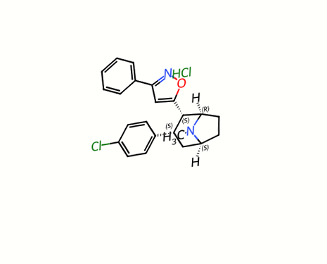 CN1[C@H]2CC[C@@H]1[C@@H](c1cc(-c3ccccc3)no1)[C@@H](c1ccc(Cl)cc1)C2.Cl